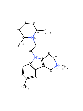 Cc1ccc2c(c1)c1c(n2CCN2C(C)CCCC2C)CCN(C)C1